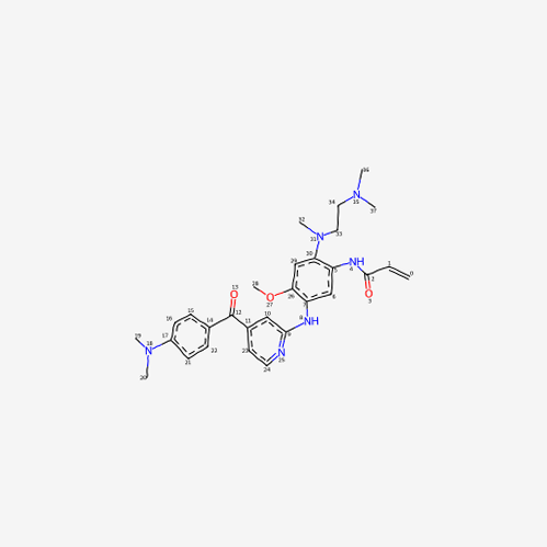 C=CC(=O)Nc1cc(Nc2cc(C(=O)c3ccc(N(C)C)cc3)ccn2)c(OC)cc1N(C)CCN(C)C